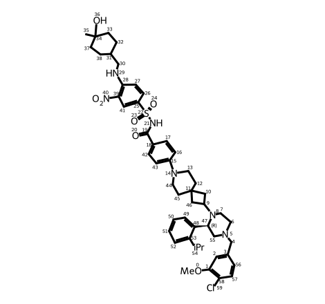 COc1cc(CN2CCN(C3CC4(CCN(c5ccc(C(=O)NS(=O)(=O)c6ccc(NCC7CCC(C)(O)CC7)c([N+](=O)[O-])c6)cc5)CC4)C3)[C@H](c3ccccc3C(C)C)C2)ccc1Cl